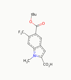 Cn1c(C(=O)O)cc2cc(C(=O)OC(C)(C)C)c(C(F)(F)F)cc21